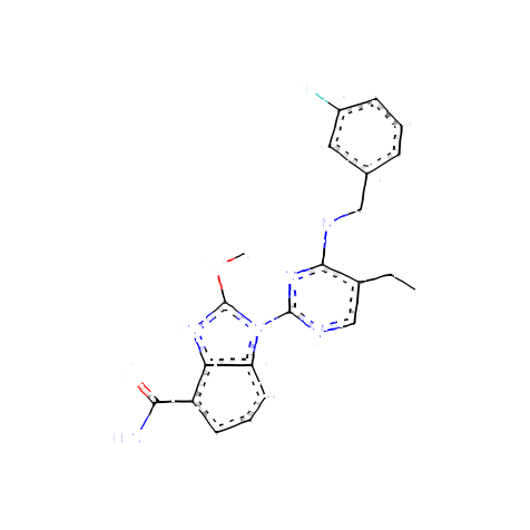 CCc1cnc(-n2c(OC)nc3c(C(N)=O)cccc32)nc1NCc1cccc(F)c1